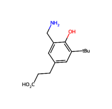 CC(C)(C)c1cc(CCC(=O)O)cc(CN)c1O